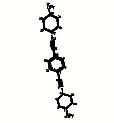 CCC[C@H]1CC[C@H](C#Cc2ccc(C#C[C@H]3CC[C@H](CCC)CC3)cc2)CC1